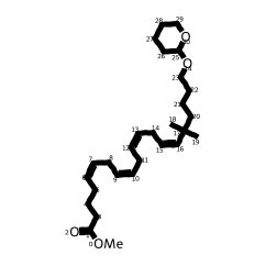 COC(=O)CCC/C=C\C/C=C\C/C=C\C/C=C\C(C)(C)CCCCOC1CCCCO1